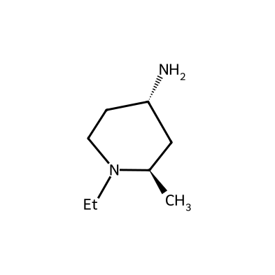 CCN1CC[C@H](N)C[C@H]1C